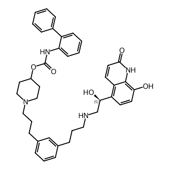 O=C(Nc1ccccc1-c1ccccc1)OC1CCN(CCCc2cccc(CCCNC[C@@H](O)c3ccc(O)c4[nH]c(=O)ccc34)c2)CC1